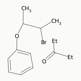 CC(Br)C(C)Oc1ccccc1.CCC(=O)CC